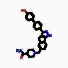 NC(=O)C1CCN(Cc2ccc3c(c2)Cc2c(-c4ccc(-c5ccc(O)cc5)cc4)n[nH]c2-3)CC1